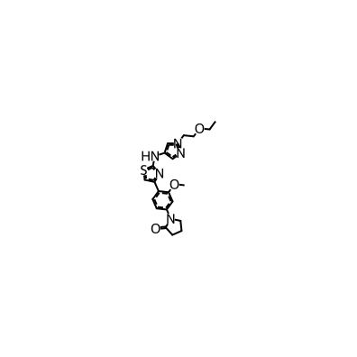 CCOCCn1cc(Nc2nc(-c3ccc(N4CCCC4=O)cc3OC)cs2)cn1